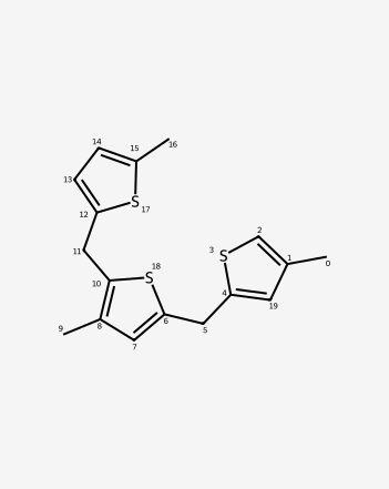 Cc1csc(Cc2cc(C)c(Cc3ccc(C)s3)s2)c1